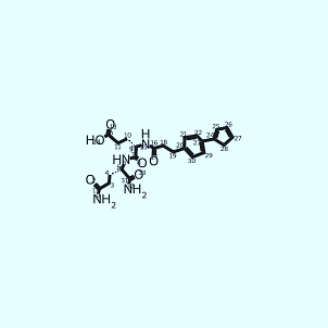 NC(=O)CC[C@H](NC(=O)[C@H](CCC(=O)O)NC(=O)CCc1ccc(C2=CC=CC2)cc1)C(N)=O